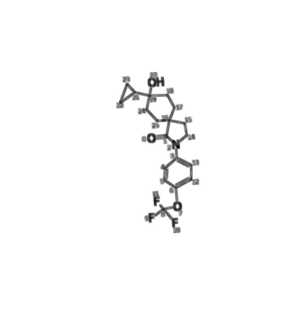 O=C1N(c2ccc(OC(F)(F)F)cc2)CCC12CCC(O)(C1CC1)CC2